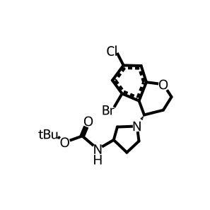 CC(C)(C)OC(=O)NC1CCN([C@H]2CCOc3cc(Cl)cc(Br)c32)C1